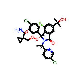 C[C@H](c1ccc(Cl)cn1)N1C(=O)c2cc(C(C)(C)O)cc(F)c2[C@]1(OOCC1(C(N)=O)CC1)c1ccc(Cl)cc1